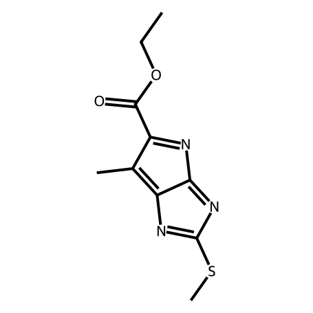 CCOC(=O)C1=NC2=NC(SC)=NC2=C1C